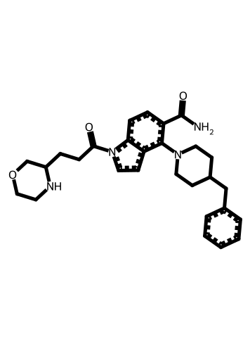 NC(=O)c1ccc2c(ccn2C(=O)CCC2COCCN2)c1N1CCC(Cc2ccccc2)CC1